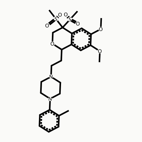 COc1cc2c(cc1OC)C(S(C)(=O)=O)(S(C)(=O)=O)COC2CCN1CCN(c2ccccc2C)CC1